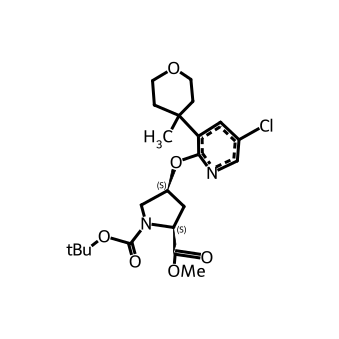 COC(=O)[C@@H]1C[C@H](Oc2ncc(Cl)cc2C2(C)CCOCC2)CN1C(=O)OC(C)(C)C